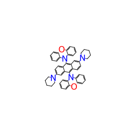 c1ccc2c(c1)Oc1ccccc1N2c1c2ccc(N3CCCCC3)cc2c(N2c3ccccc3Oc3ccccc32)c2ccc(N3CCCCC3)cc12